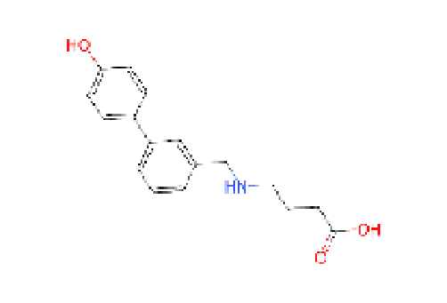 O=C(O)CCCNCc1cccc(-c2ccc(O)cc2)c1